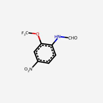 O=CNc1ccc([N+](=O)[O-])cc1OC(F)(F)F